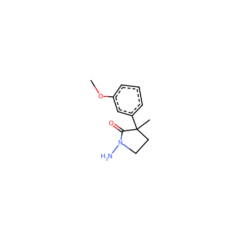 COc1cccc(C2(C)CCN(N)C2=O)c1